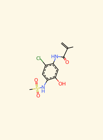 C=C(C)C(=O)Nc1cc(O)c(NS(C)(=O)=O)cc1Cl